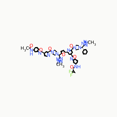 CC(=O)Nc1ccc2oc(-c3ccnc(C(=O)N4CCN(C(c5nnn(C)n5)c5ccc(-c6cc(-c7nc8cc(NC(=O)[C@H]9CC9(F)F)ccc8o7)cc(C(=O)N7CCN([C@@H](c8ccccc8)c8nnn(C)n8)CC7)n6)o5)CC4)c3)nc2c1